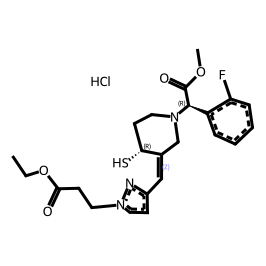 CCOC(=O)CCn1ccc(/C=C2/CN([C@@H](C(=O)OC)c3ccccc3F)CC[C@H]2S)n1.Cl